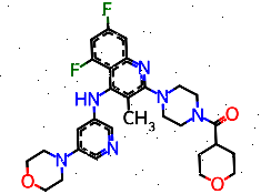 Cc1c(N2CCN(C(=O)C3CCOCC3)CC2)nc2cc(F)cc(F)c2c1Nc1cncc(N2CCOCC2)c1